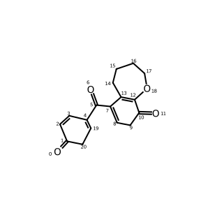 O=C1C=CC(C(=O)C2=CCC(=O)C3=C2CCCCO3)=CC1